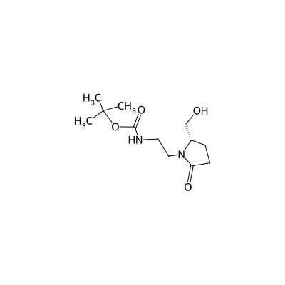 CC(C)(C)OC(=O)NCCN1C(=O)CC[C@H]1CO